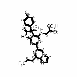 CCC(CNc1nc(-c2cn3ccnc3c(CCC(F)(F)F)n2)nc2c1C(C)(c1ccc(Cl)cc1)C(=O)N2)C(=O)O